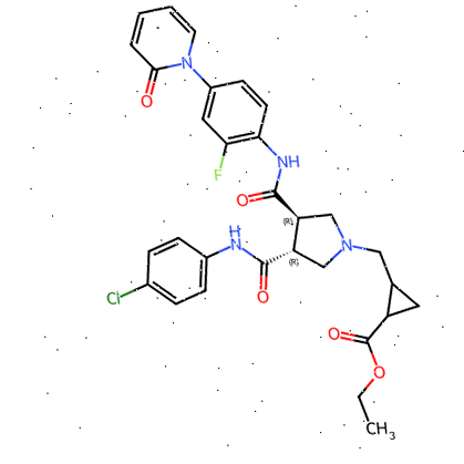 CCOC(=O)C1CC1CN1C[C@H](C(=O)Nc2ccc(Cl)cc2)[C@@H](C(=O)Nc2ccc(-n3ccccc3=O)cc2F)C1